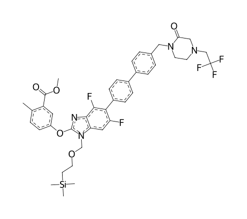 COC(=O)c1cc(Oc2nc3c(F)c(-c4ccc(-c5ccc(CN6CCN(CC(F)(F)F)CC6=O)cc5)cc4)c(F)cc3n2COCC[Si](C)(C)C)ccc1C